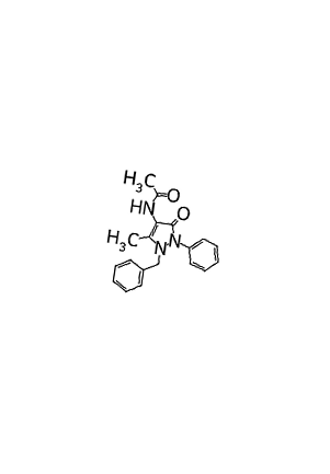 CC(=O)Nc1c(C)n(Cc2ccccc2)n(-c2ccccc2)c1=O